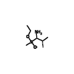 CCO[Si](C)([O])C(N)C(C)C